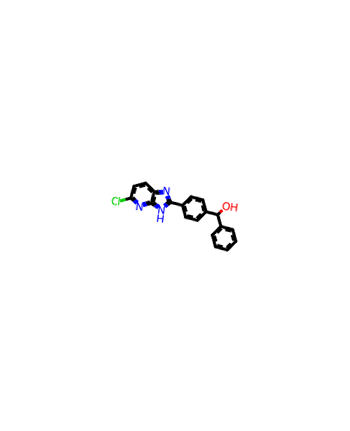 OC(c1ccccc1)c1ccc(-c2nc3ccc(Cl)nc3[nH]2)cc1